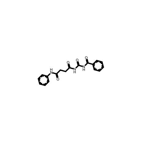 O=C(CCC(=O)Nc1ccccc1)NC(=O)NC(=O)c1ccccc1